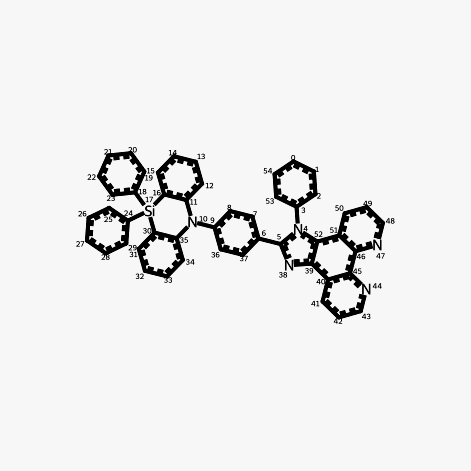 c1ccc(-n2c(-c3ccc(N4c5ccccc5[Si](c5ccccc5)(c5ccccc5)c5ccccc54)cc3)nc3c4cccnc4c4ncccc4c32)cc1